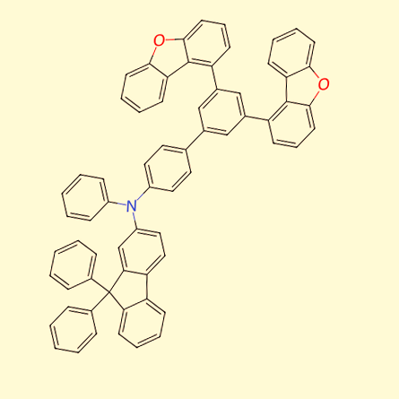 c1ccc(N(c2ccc(-c3cc(-c4cccc5oc6ccccc6c45)cc(-c4cccc5oc6ccccc6c45)c3)cc2)c2ccc3c(c2)C(c2ccccc2)(c2ccccc2)c2ccccc2-3)cc1